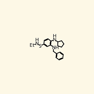 CCNSc1ccc(NC2CCCC2)c(NCc2ccccc2)c1